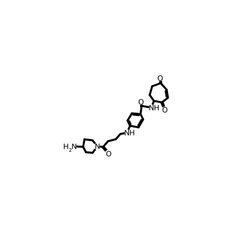 NC1CCN(C(=O)CCCNc2ccc(C(=O)NC3CCC(=O)C=CC3=O)cc2)CC1